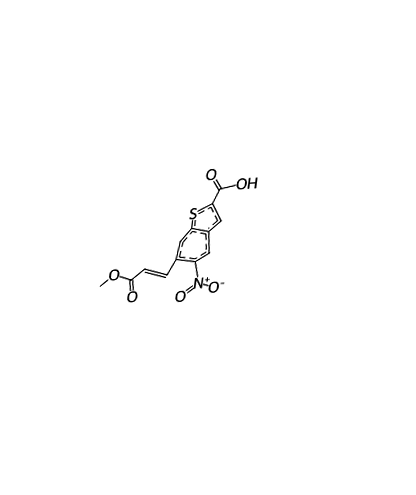 COC(=O)C=Cc1cc2sc(C(=O)O)cc2cc1[N+](=O)[O-]